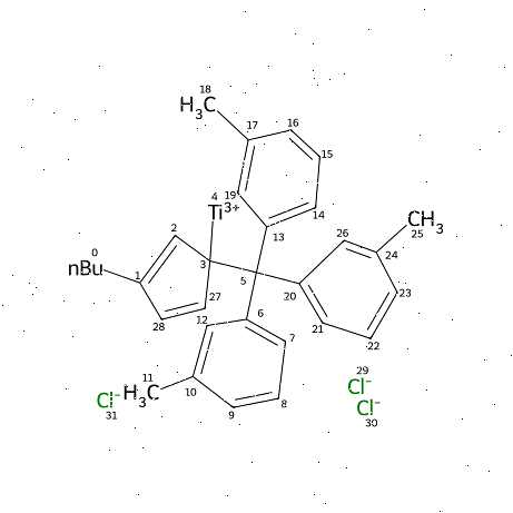 CCCCC1=C[C]([Ti+3])(C(c2cccc(C)c2)(c2cccc(C)c2)c2cccc(C)c2)C=C1.[Cl-].[Cl-].[Cl-]